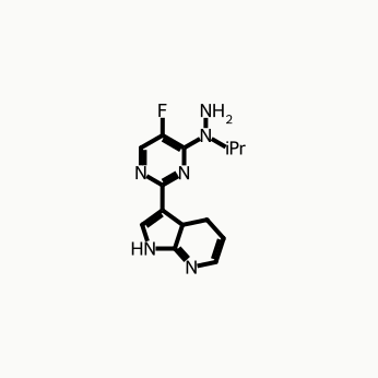 CC(C)N(N)c1nc(C2=CNC3=NC=CCC23)ncc1F